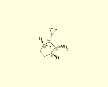 N[C@H]1[C@@H]2CC[C@@H](C2)[C@@H]1C1CC1